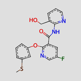 CSc1cccc(Oc2ncc(F)cc2C(=O)Nc2ncccc2CO)c1